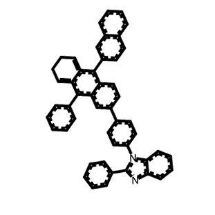 C1=c2c(-c3ccc4ccccc4c3)c3ccc(-c4ccc(-n5c(-c6ccccc6)nc6ccccc65)cc4)cc3c(-c3ccccc3)c2=CCC1